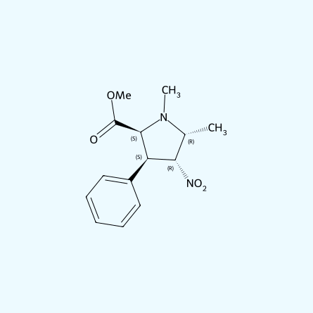 COC(=O)[C@@H]1[C@H](c2ccccc2)[C@@H]([N+](=O)[O-])[C@@H](C)N1C